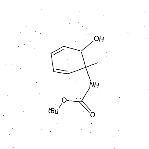 CC(C)(C)OC(=O)NC1(C)C=CC=CC1O